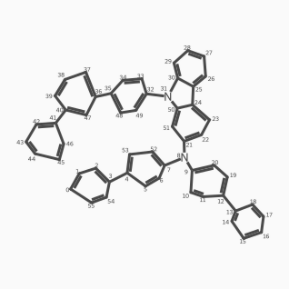 c1ccc(-c2ccc(N(c3ccc(-c4ccccc4)cc3)c3ccc4c5ccccc5n(-c5ccc(-c6cccc(-c7ccccc7)c6)cc5)c4c3)cc2)cc1